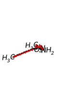 CCC=CCC=CCC=CCC=CCC=CCC=CCCC(=O)N(CCC)[C@@H]1CCc2nc(N)sc2C1